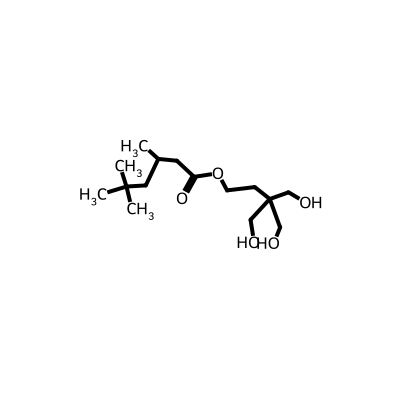 CC(CC(=O)OCCC(CO)(CO)CO)CC(C)(C)C